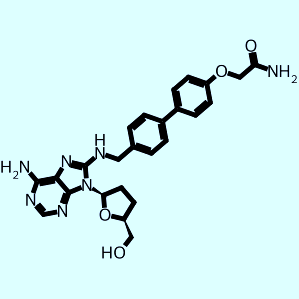 NC(=O)COc1ccc(-c2ccc(CNc3nc4c(N)ncnc4n3[C@H]3CC[C@@H](CO)O3)cc2)cc1